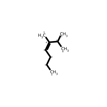 CCCC=C(C)C(C)C